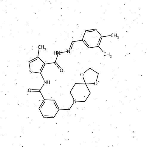 Cc1ccc(C=NNC(=O)c2c(C)csc2NC(=O)c2cccc(CN3CCC4(CC3)OCCO4)c2)cc1C